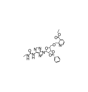 CCNC(=O)Nc1ncnc2c1ncn2C1OC(COCc2ncccc2C(=O)OCC)C2O[C@H](c3ccccc3)OC21